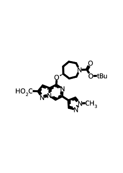 Cn1cc(-c2cn3nc(C(=O)O)cc3c(O[C@@H]3CCCN(C(=O)OC(C)(C)C)CC3)n2)cn1